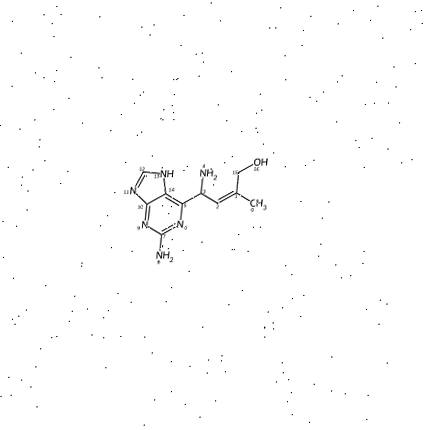 CC(=CC(N)c1nc(N)nc2nc[nH]c12)CO